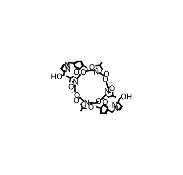 CC(C)C[C@H]1C(=O)O[C@H](Cc2ccc(Cn3ccc(CO)n3)cc2)C(=O)N(C)[C@@H](CC(C)C)C(=O)O[C@H](C)C(=O)N(C)[C@@H](CC(C)C)C(=O)O[C@H](Cc2ccc(Cn3ccc(CO)n3)cc2)C(=O)N(C)[C@@H](CC(C)C)C(=O)O[C@H](C)C(=O)N1C